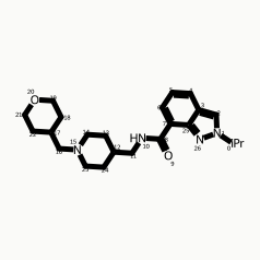 CC(C)n1cc2cccc(C(=O)NCC3CCN(CC4CCOCC4)CC3)c2n1